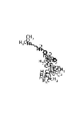 CCOC(C)=NOCCCCCC(=O)NCc1ccc(NC(=O)[C@H](Cc2ccccc2)NC(=O)[C@H](C)[C@@H](OC)[C@@H]2CCCN2C(=O)C[C@@H](OC)[C@H]([C@@H](C)CC)N(C)C(=O)[C@@H](N=C(N(C)C)N(C)C)C(C)C)cc1